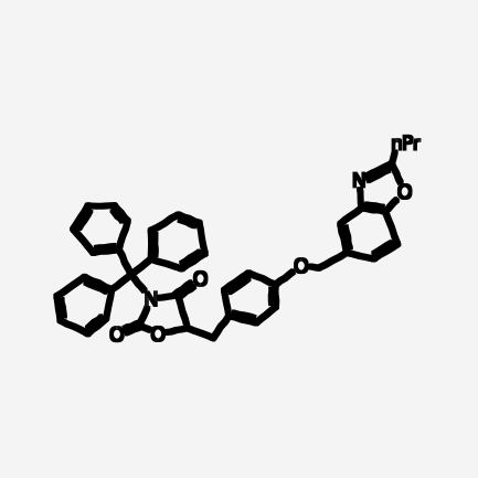 CCCc1nc2cc(COc3ccc(CC4OC(=O)N(C(c5ccccc5)(c5ccccc5)c5ccccc5)C4=O)cc3)ccc2o1